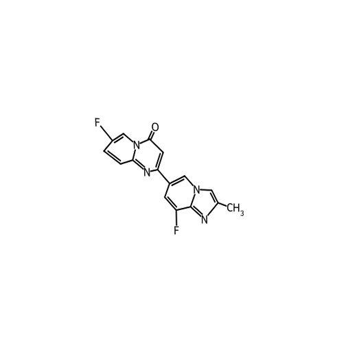 Cc1cn2cc(-c3cc(=O)n4cc(F)ccc4n3)cc(F)c2n1